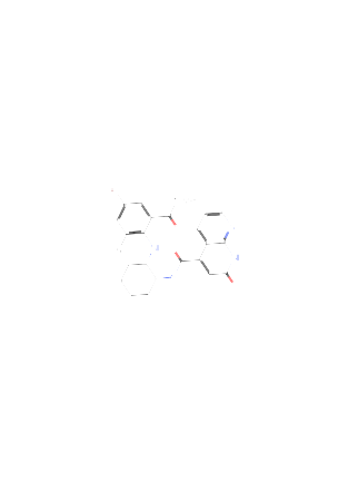 CNC(=O)c1cc(Br)cc([N+](=O)[O-])c1N[C@@H]1CCCC[C@@H]1NC(=O)c1cc(=O)[nH]c2ncccc12